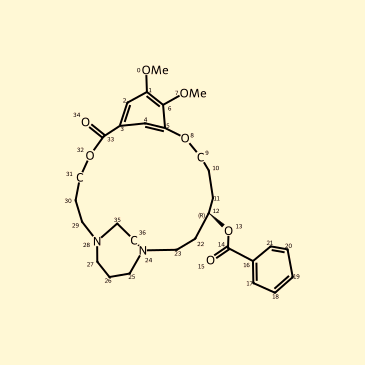 COc1cc2cc(c1OC)OCCC[C@@H](OC(=O)c1ccccc1)CCN1CCCN(CCCOC2=O)CC1